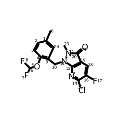 Cc1ccc(OC(F)F)c(Cn2c3nc(Cl)c(F)cc3c(=O)n2C)c1